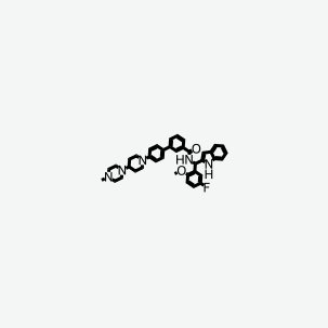 COc1ccc(F)cc1C(NC(=O)c1cccc(-c2ccc(N3CCC(N4CCN(C)CC4)CC3)cc2)c1)c1cc2ccccc2[nH]1